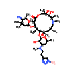 Bn1cc(CCN(C)[C@H]2C[C@@H](C)O[C@@H](O[C@@H]3[C@H](C)[C@@H](O[C@H]4C[C@@](C)(OC)C(=N)[C@H](C)O4)[C@@H](C)C(=O)OC[C@@](C)(O)[C@H](O)[C@@H](C)N(C)C[C@H](C)C[C@@]3(C)O)[C@@H]2O)nn1